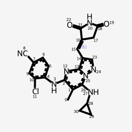 Cc1c(Nc2ccc(C#N)cc2Cl)nc2c(/C=C3\CC(=O)NC3=O)cnn2c1NC1CC1